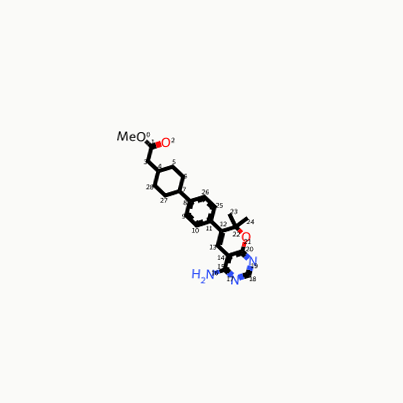 COC(=O)CC1CCC(c2ccc(C3=Cc4c(N)ncnc4OC3(C)C)cc2)CC1